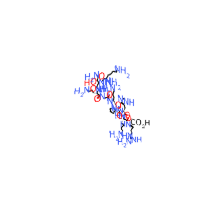 N=C(N)NCC/C=C(\NC(=O)[C@H](CCCCN)NC(=O)[C@H](Cc1cnc[nH]1)NC(=O)[C@@H]1CCCN1C(=O)/C(CCCN)=N/C(=O)CNC(=O)[C@H](CCCN)NC(=O)[C@@H](NC(=O)[C@@H](N)CCCCN)[C@@H](O)CN)C(=O)O